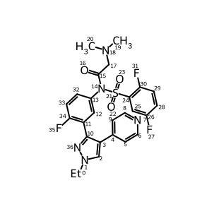 CCn1cc(-c2ccncc2)c(-c2cc(N(C(=O)CN(C)C)S(=O)(=O)c3cc(F)ccc3F)ccc2F)n1